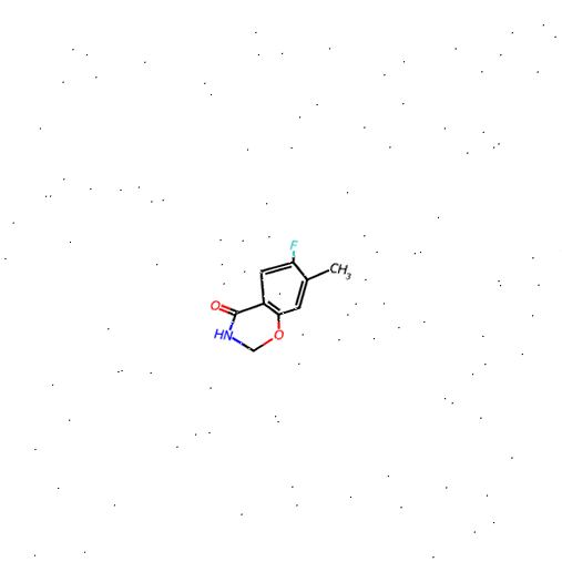 Cc1cc2c(cc1F)C(=O)NCO2